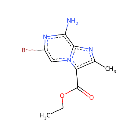 CCOC(=O)c1c(C)nc2c(N)nc(Br)cn12